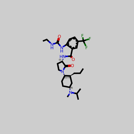 CCC[C@H]1C[C@H](N(C)C(C)C)CC[C@@H]1N1CC[C@H](NC(=O)c2cc(C(F)(F)F)ccc2NC(=O)NCC)C1=O